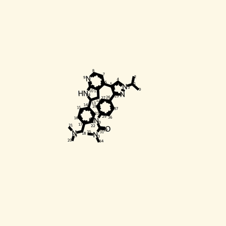 CC(C)n1cc(-c2ccnc3c2CC(c2ccc(CN(C)C)cc2)N3)c(-c2ccc(NC(=O)N(C)C)cc2)n1